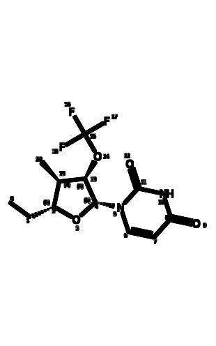 CC[C@H]1O[C@@H](n2ccc(=O)[nH]c2=O)[C@H](OC(F)(F)F)[C@@H]1C